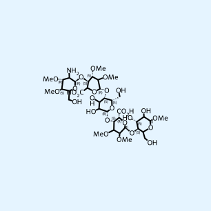 COC1C(OC)[C@H](O[C@H]2O[C@@H](CO)[C@@H](O[C@@H]3OC(C(=O)O)[C@@H](O[C@H]4OC(CO)[C@@H](OC)[C@H](OC)C4N)[C@H](OC)C3OC)C(O)C2O)[C@H](C(=O)O)O[C@H]1O[C@@H]1C(CO)O[C@H](OC)C(O)[C@H]1O